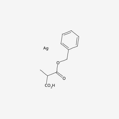 CC(C(=O)O)C(=O)OCc1ccccc1.[Ag]